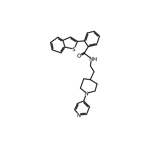 O=C(NCCC1CCN(c2ccncc2)CC1)c1ccccc1-c1cc2ccccc2s1